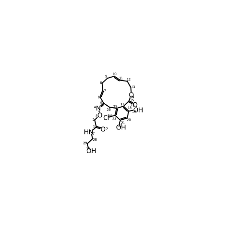 O=C(CO/N=C1/C=C/CC/C=C/CCOC(=O)c2c(O)cc(O)c(Cl)c2C1)NCCO